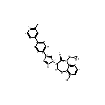 Cc1cc(-c2ccc(-c3cn([C@H]4CCc5c(F)cccc5N(CC(F)(F)F)C4=O)nn3)cc2)ccn1